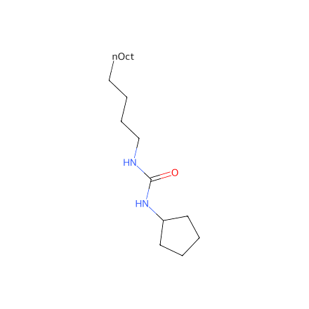 CCCCCCCCCCCCNC(=O)NC1CCCC1